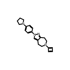 C1=CC(N2CCc3cn(-c4ccc(N5CCCC5)cc4)nc3CC2)=C1